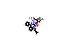 CCCC[C@H](C(N)=O)[C@@H](CC(C)C)C(=O)NC1N=C(c2ccccc2)c2ccccc2N(CCC2CC2)C1=O